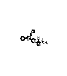 CNc1ncnc(N2CCC(c3nc(C4CCCCC4)cn3CCN3CCC3)CC2)c1C#N